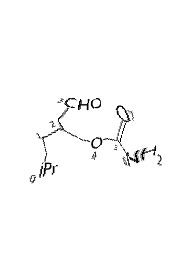 CC(C)CC(C=O)OC(N)=O